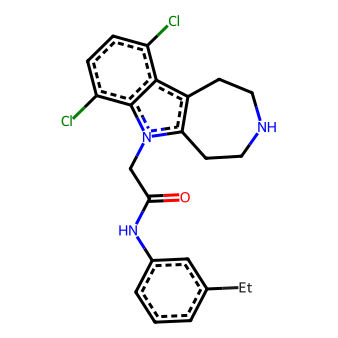 CCc1cccc(NC(=O)Cn2c3c(c4c(Cl)ccc(Cl)c42)CCNCC3)c1